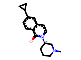 CN1CCC[C@@H](n2ccc3cc(C4CC4)ccc3c2=O)C1